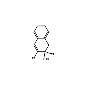 O=CC1(O)Cc2ccccc2C=C1O